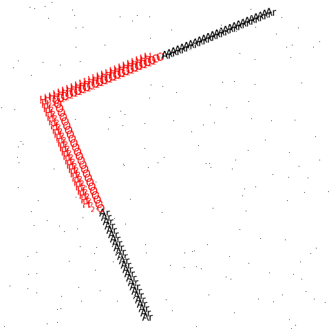 O.O.O.O.O.O.O.O.O.O.O.O.O.O.O.O.O.O.O.O.O.O.O.O.O.O.O.O.O.O.O.O.O.O.O.O.O.O.O.O.O.O.O.O.O.O.O.O.O.[Ar].[Ar].[Ar].[Ar].[Ar].[Ar].[Ar].[Ar].[Ar].[Ar].[Ar].[Ar].[Ar].[Ar].[Ar].[Ar].[Ar].[Ar].[Ar].[Ar].[Ar].[Ar].[Ar].[Ar].[Ar].[Ar].[Ar].[Ar].[Ar].[Ar].[Ar].[Ar].[Ar].[Ar].[Ar].[Ar].[Ar].[Ar].[Ar].[Ar].[Ar].[Ar].[Ar].[Ar].[Ar].[Ar].[Ar].[Ar].[Ar].[Ar].[O]